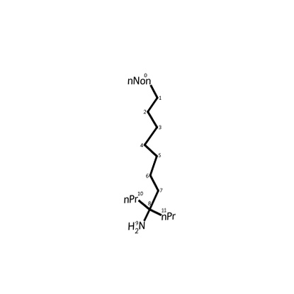 CCCCCCCCCCCCCCCCC(N)(CCC)CCC